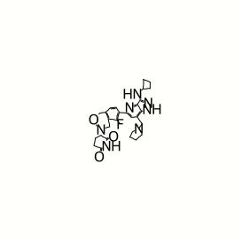 O=C1CCC(N2COCc3ccc(-c4cc(CN5CCCC5)c5[nH]nc(NC6CCC6)c5n4)c(F)c3C2)C(=O)N1